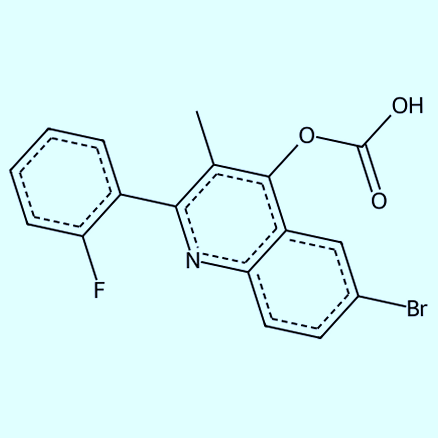 Cc1c(-c2ccccc2F)nc2ccc(Br)cc2c1OC(=O)O